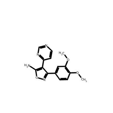 COc1ccc(-c2noc(N)c2-c2ccncn2)cc1OC